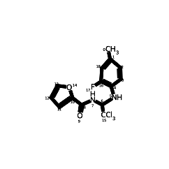 Cc1ccc(NC(NC(=O)c2ccco2)C(Cl)(Cl)Cl)c(F)c1